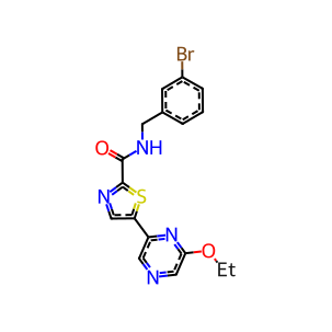 CCOc1cncc(-c2cnc(C(=O)NCc3cccc(Br)c3)s2)n1